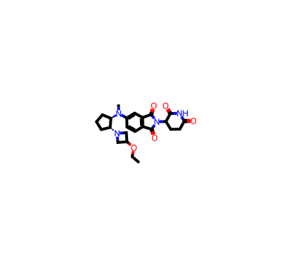 CCOC1CN([C@@H]2CCC[C@H]2N(C)c2ccc3c(c2)C(=O)N(C2CCC(=O)NC2=O)C3=O)C1